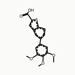 COc1cc(-c2ccc3sc(C(=O)O)cc3c2)cc(OC)c1OC